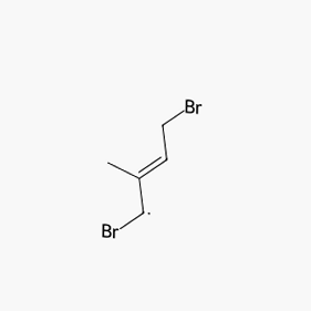 C/C([CH]Br)=C\CBr